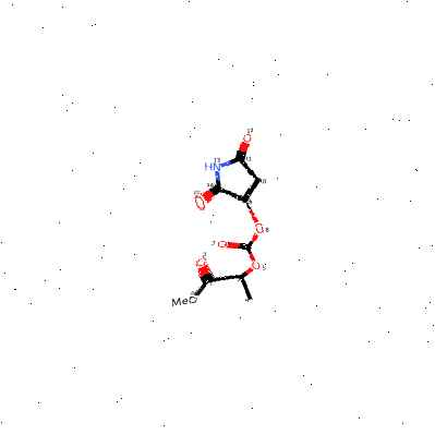 COC(=O)C(C)OC(=O)O[C@@H]1CC(=O)NC1=O